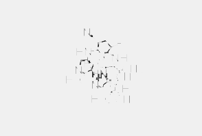 Cc1ncc(Nc2nc(N[C@H](C(C)C)[C@H](C)NC(=O)OC(C)(C)C)c(F)cc2C#N)cc1-n1nccn1